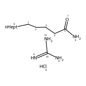 CCCCCCCCCCCC(N)=O.Cl.N=C(N)N